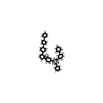 c1ccc(-c2ccc(-c3ccc(-c4cccc5c4oc4cc(-c6nc(-c7ccccc7)nc(-c7cccc(-c8ccccc8)c7)n6)ccc45)cc3)cc2)cc1